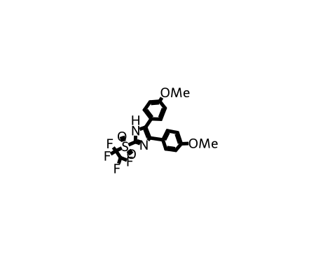 COc1ccc(-c2nc(S(=O)(=O)C(F)(F)C(F)F)[nH]c2-c2ccc(OC)cc2)cc1